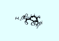 COC(=O)c1ccc(F)c(O)c1C